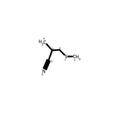 CSCC(C)C#N